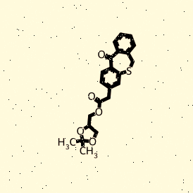 CC1(C)OCC(COC(=O)Cc2ccc3c(c2)SCc2ccccc2C3=O)O1